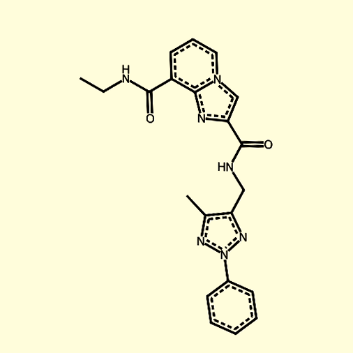 CCNC(=O)c1cccn2cc(C(=O)NCc3nn(-c4ccccc4)nc3C)nc12